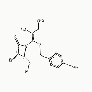 COc1ccc(COC(=C(C)CC=O)N2C(=O)[C@H](Br)[C@H]2SC(C)=O)cc1